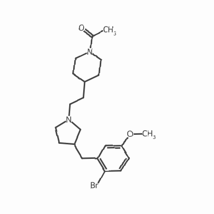 COc1ccc(Br)c(CC2CCN(CCC3CCN(C(C)=O)CC3)C2)c1